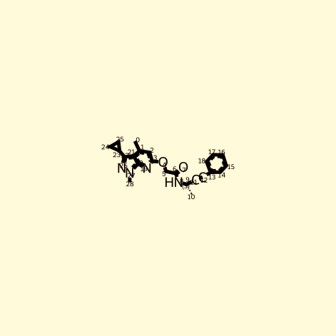 Cc1cc(OCC(=O)N[C@@H](C)CCc2ccccc2)nc2c1c(C1CC1)nn2C